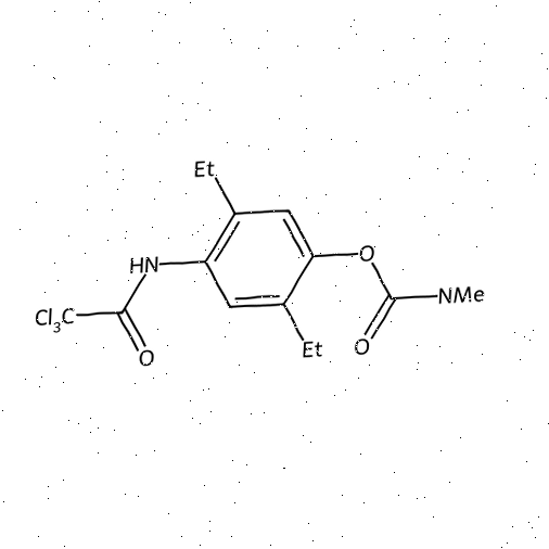 CCc1cc(OC(=O)NC)c(CC)cc1NC(=O)C(Cl)(Cl)Cl